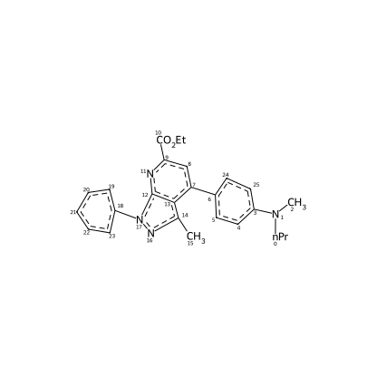 CCCN(C)c1ccc(-c2cc(C(=O)OCC)nc3c2c(C)nn3-c2ccccc2)cc1